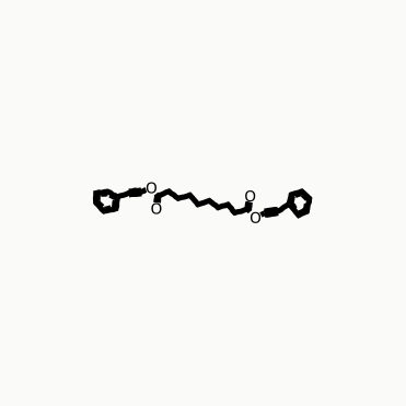 O=C(CCCCCCCCC(=O)OC#Cc1ccccc1)OC#Cc1ccccc1